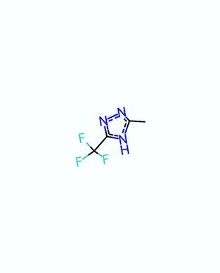 Cc1nnc(C(F)(F)F)[nH]1